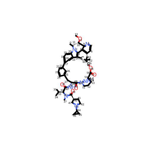 CCn1c(-c2cccnc2[C@H](C)OC)c2c3cc(ccc31)-c1cccc(c1)C[C@H](NC(=O)[C@H](C(C)C)N(C)C(=O)[C@H]1CCN(C3CC3)C1)C(=O)N1CCC[C@H](N1)C(=O)OCC(C)(C)C2